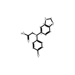 O=C(O)C[C@H](c1ccc(Cl)cc1)c1ccc2c(c1)OCO2